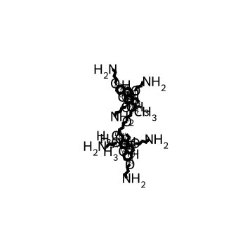 C[C@H](CCCOCCC[C@@H](C)[C@H]1CC[C@H]2[C@@H]3[C@H](OCCCN)C[C@@H]4C[C@H](OCCCN)CC[C@]4(C)[C@H]3C[C@H](OCCCN)[C@]12C)[C@H]1CC[C@H]2[C@@H]3[C@H](OCCCN)C[C@@H]4C[C@H](OCCCN)CC[C@]4(C)[C@H]3C[C@H](OCCCN)[C@]12C